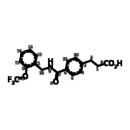 O=C(O)CCc1ccc(C(=O)NCc2ccccc2OC(F)(F)F)cc1